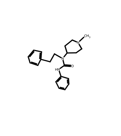 CN1CCC(N(CCc2ccccc2)C(=O)Nc2ccccc2)CC1